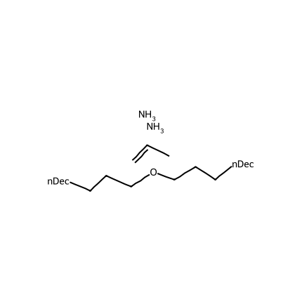 C=CC.CCCCCCCCCCCCCOCCCCCCCCCCCCC.N.N